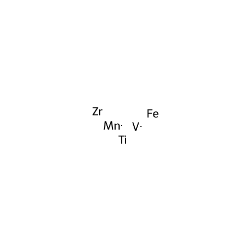 [Fe].[Mn].[Ti].[V].[Zr]